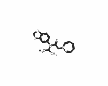 CC(C)N(C(=O)CN1C=CC=CC=N1)c1ccc2c(c1)OCO2